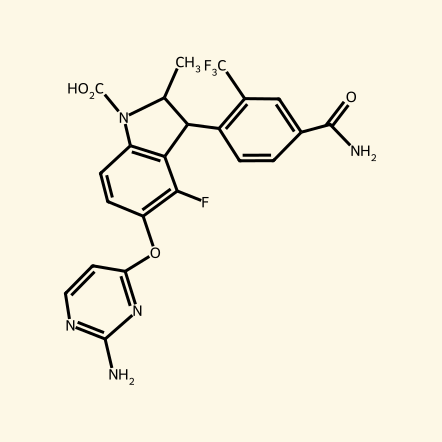 CC1C(c2ccc(C(N)=O)cc2C(F)(F)F)c2c(ccc(Oc3ccnc(N)n3)c2F)N1C(=O)O